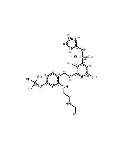 CCNCCNc1cc(OC(F)(F)F)ccc1COc1cc(F)cc(S(=O)(=O)Nc2ncon2)c1F